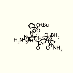 BOC(=O)[C@@]1(N2CCN(N)C2=O)CN2C(=O)[C@@H](NC(=O)/C(=N\OC3(C(=O)OC(C)(C)C)CCCC3)c3csc(N)n3)[C@H]2S1